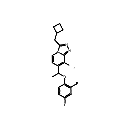 CC(Oc1ccc(F)cc1F)c1ccn2c(CC3CCC3)nnc2c1C(F)(F)F